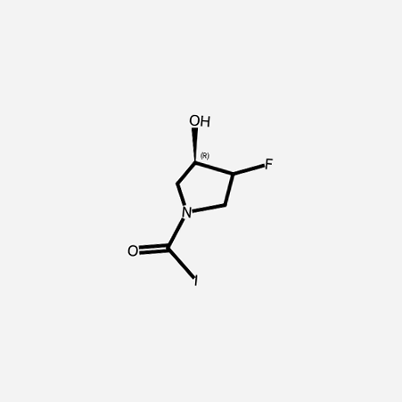 O=C(I)N1CC(F)[C@H](O)C1